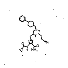 N#CCCCCN(CC(F)Cn1cc(C(N)=O)c(NC(=O)C2CC2)n1)CC1CCC(c2ccccc2)CC1